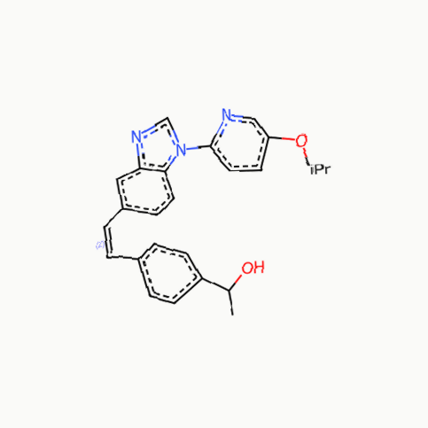 CC(C)Oc1ccc(-n2cnc3cc(/C=C\c4ccc(C(C)O)cc4)ccc32)nc1